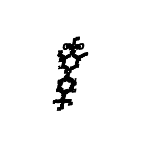 CC1CN(c2ccc(C(C)(C)C)cn2)CC(C)N1S(C)(=O)=O